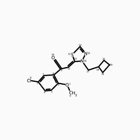 COc1ccc(Cl)cc1C(=O)C=C1SC=NN1CC1CCC1